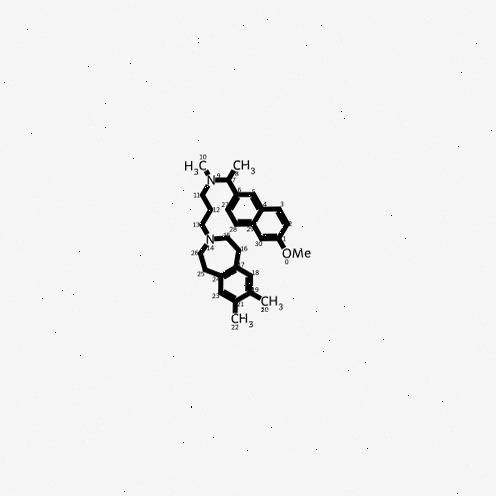 COc1ccc2cc(C(C)N(C)CCCN3CCc4cc(C)c(C)cc4CC3)ccc2c1